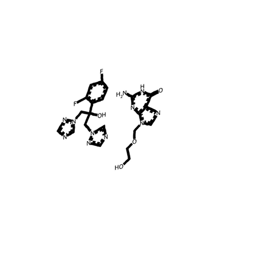 Nc1nc2c(ncn2COCCO)c(=O)[nH]1.OC(Cn1cncn1)(Cn1cncn1)c1ccc(F)cc1F